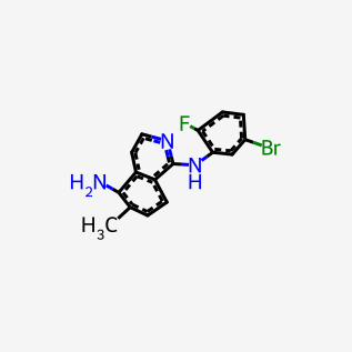 Cc1ccc2c(Nc3cc(Br)ccc3F)nccc2c1N